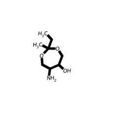 CCC1(C)OCC(N)C(O)CO1